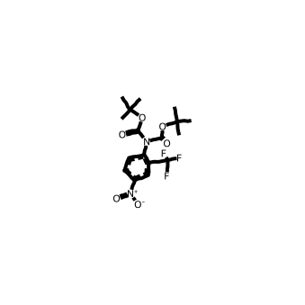 CC(C)(C)OC(=O)N(C(=O)OC(C)(C)C)c1ccc([N+](=O)[O-])cc1C(F)(F)F